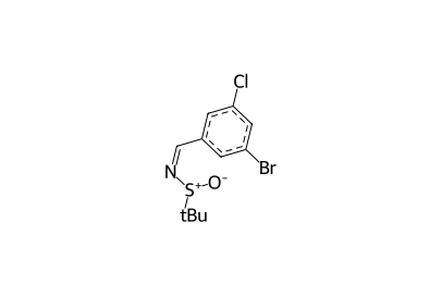 CC(C)(C)[S+]([O-])/N=C\c1cc(Cl)cc(Br)c1